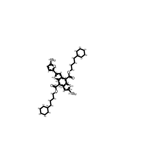 CC(C)(C)c1ccc(-c2cc3c(C(=O)OCCCCC4CCCCC4)c4sc(C(C)(C)C)cc4c(C(=O)OCCCCC4CCCCC4)c3s2)o1